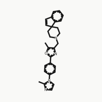 Cc1oc(-c2ccc(-n3ccnc3C)cc2)nc1CN1CCC2(C=Cc3ccccc32)CC1